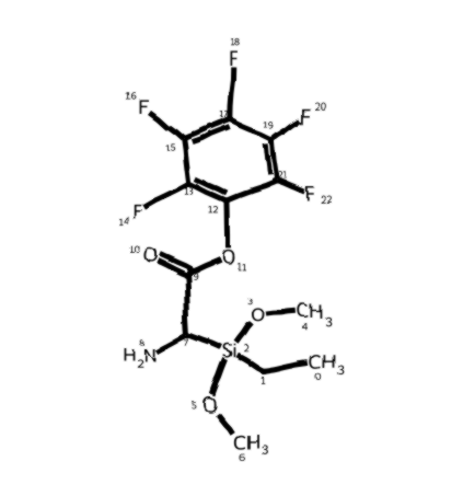 CC[Si](OC)(OC)C(N)C(=O)Oc1c(F)c(F)c(F)c(F)c1F